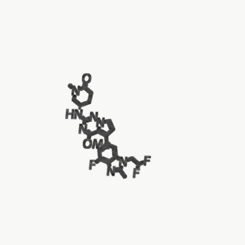 COc1nc(N[C@H]2CCC(=O)N(C)C2)nn2ccc(-c3cc(F)c4nc(C)n(CC(F)F)c4c3)c12